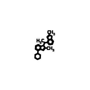 CC1=Cc2c(cccc2C(C)C2C(C)=Cc3c(C4CCCCC4)cccc32)C1